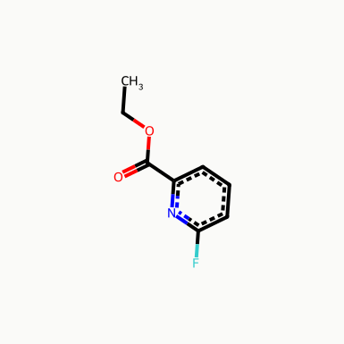 CCOC(=O)c1cccc(F)n1